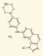 CC(C)n1nnc2ccc3cnc(Nc4ccc(N5CCNCC5)cn4)nc3c21.Cl